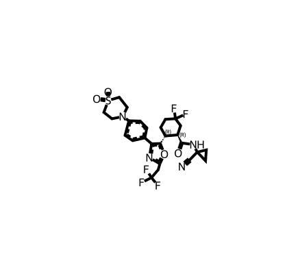 N#CC1(NC(=O)[C@@H]2CC(F)(F)CC[C@H]2c2oc(CC(F)(F)F)nc2-c2ccc(N3CCS(=O)(=O)CC3)cc2)CC1